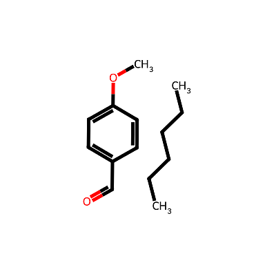 CCCCCC.COc1ccc(C=O)cc1